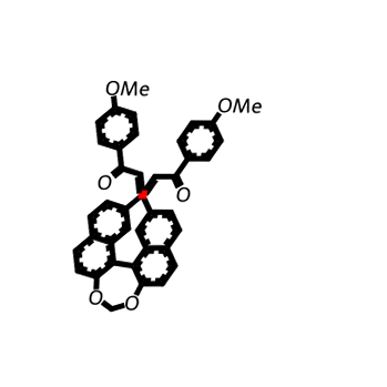 COc1ccc(C(=O)/C=C\c2ccc3ccc4c(c3c2)-c2c(ccc3ccc(/C=C\C(=O)c5ccc(OC)cc5)cc23)OCO4)cc1